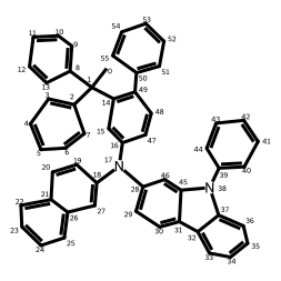 CC(c1ccccc1)(c1ccccc1)c1cc(N(c2ccc3ccccc3c2)c2ccc3c4ccccc4n(-c4ccccc4)c3c2)ccc1-c1ccccc1